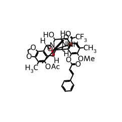 COc1c(C)cc2c(c1OC(=O)/C=C/c1ccccc1)[C@H]1N[C@@H](C2)[C@H](O)N2C1[C@@H]1SCC(NC(=O)C(F)(F)F)C(=O)OC[C@H]2c2c3c(c(C)c(OC(C)=O)c21)OCO3